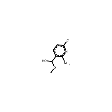 COC(O)c1ccc(Cl)nc1N